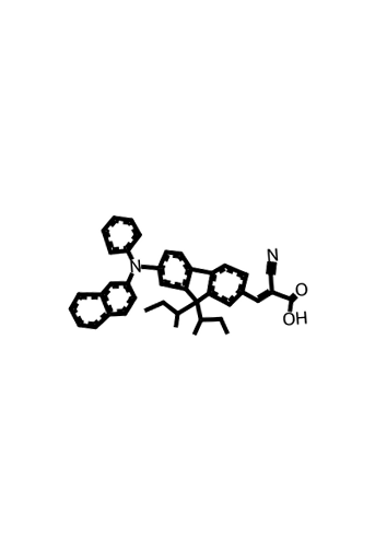 CCC(C)C1(C(C)CC)c2cc(/C=C(\C#N)C(=O)O)ccc2-c2ccc(N(c3ccccc3)c3ccc4ccccc4c3)cc21